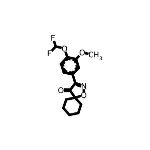 COc1cc(C2=NOC3(CCCCC3)C2=O)ccc1OC(F)F